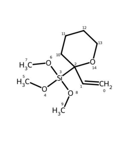 C=CC1([Si](OC)(OC)OC)CCCCO1